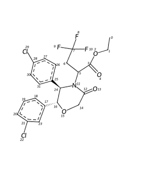 CCOC(=O)C(CC(F)(F)F)N1C(=O)CO[C@H](c2cccc(Cl)c2)[C@H]1c1ccc(Cl)cc1